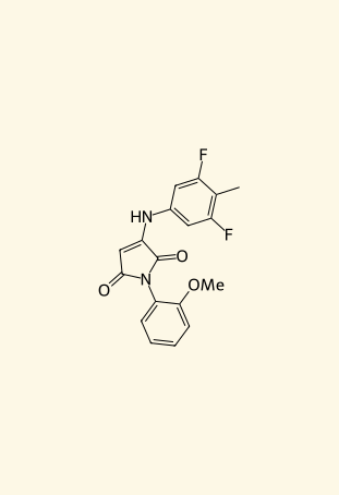 COc1ccccc1N1C(=O)C=C(Nc2cc(F)c(C)c(F)c2)C1=O